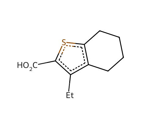 CCc1c(C(=O)O)sc2c1CCCC2